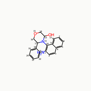 Nc1ccc2ccccc2c1N1C(O)COCC1c1ccccc1